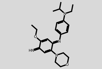 CCOC1=C/C(=N\c2ccc(N(CC)C(C)C)cc2)C(N2CCOCC2)=CC1=N